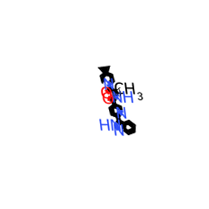 C[C@H](NC(=O)c1ccc(-c2[nH]nc3ccccc23)nc1)C(=O)N1CCC2(CC1)CC2